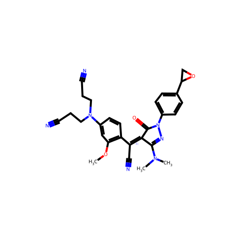 COc1cc(N(CCC#N)CCC#N)ccc1/C(C#N)=C1\C(=O)N(c2ccc(C3CO3)cc2)N=C1N(C)C